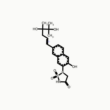 CC(C)(O)C(C)(O)C/C=C/c1ccc2cc(O)c(N3CC(=O)NS3(=O)=O)cc2c1